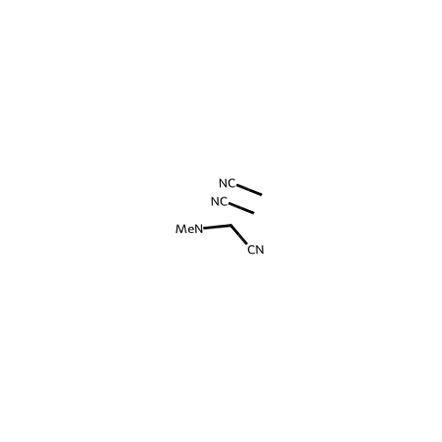 CC#N.CC#N.CNCC#N